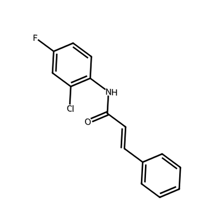 O=C(/C=C/c1ccccc1)Nc1ccc(F)cc1Cl